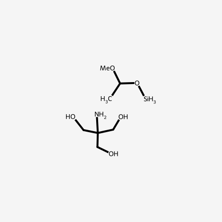 COC(C)O[SiH3].NC(CO)(CO)CO